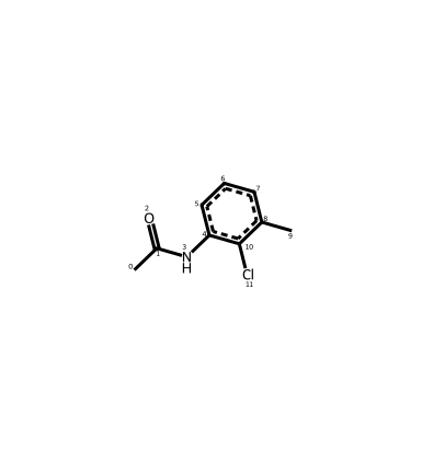 CC(=O)Nc1cccc(C)c1Cl